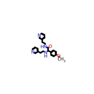 COc1ccc(C(NCCc2cccnc2)C(=O)NCCc2cccnc2)cc1